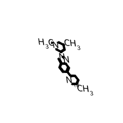 CC1CC(n2cc3ccc(C4=NC[C@@H](C)CC4)cc3n2)CN(C)C1